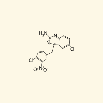 Nc1nc(Cc2ccc(Cl)c([N+](=O)[O-])c2)c2cc(Cl)ccc2n1